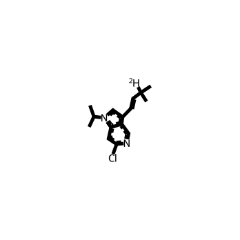 [2H]C(C)(C)/C=C/c1cn(C(C)C)c2cc(Cl)ncc12